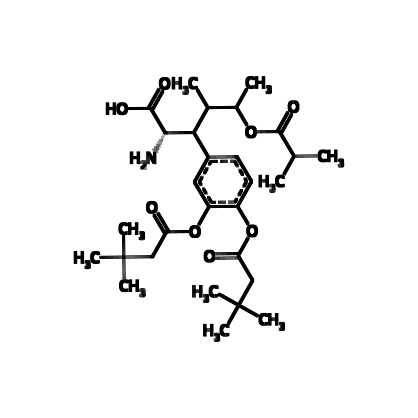 CC(C)C(=O)OC(C)C(C)C(c1ccc(OC(=O)CC(C)(C)C)c(OC(=O)CC(C)(C)C)c1)[C@H](N)C(=O)O